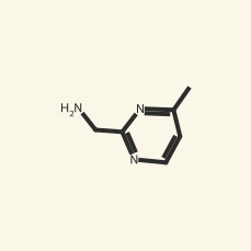 Cc1ccnc(CN)n1